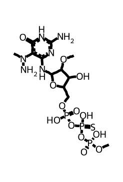 COC1C(Nc2nc(N)[nH]c(=O)c2N(C)N)OC(COP(=O)(O)OP(O)(=S)OP(=O)(O)OC)C1O